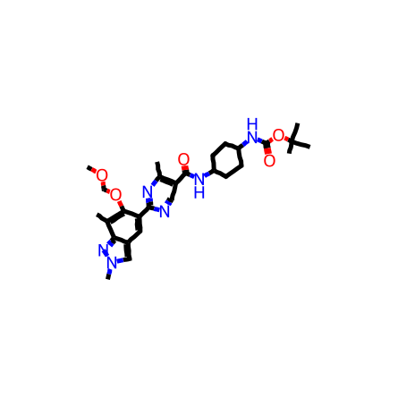 COCOc1c(-c2ncc(C(=O)NC3CCC(NC(=O)OC(C)(C)C)CC3)c(C)n2)cc2cn(C)nc2c1C